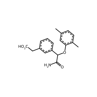 Cc1ccc(C)c(OC(C(N)=O)c2cccc(CC(=O)O)c2)c1